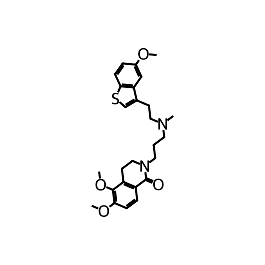 COc1ccc2scc(CCN(C)CCCN3CCc4c(ccc(OC)c4OC)C3=O)c2c1